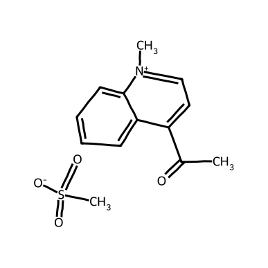 CC(=O)c1cc[n+](C)c2ccccc12.CS(=O)(=O)[O-]